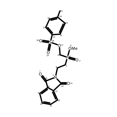 COP(=O)(CCN1C(=O)c2ccccc2C1=O)COS(=O)(=O)c1ccc(C)cc1